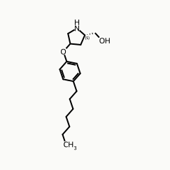 CCCCCCCc1ccc(OC2CN[C@H](CO)C2)cc1